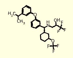 CC(C)c1cccc(Oc2cccc(C(NCC(O)C(F)(F)F)C3CCCC(OC(F)(F)F)C3)c2)c1